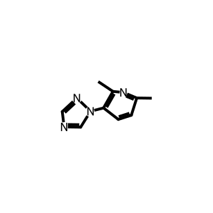 Cc1ccc(-n2cncn2)c(C)n1